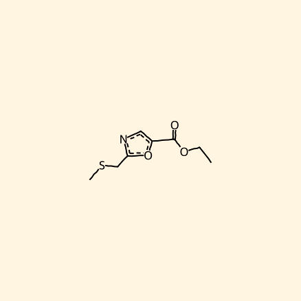 CCOC(=O)c1cnc(CSC)o1